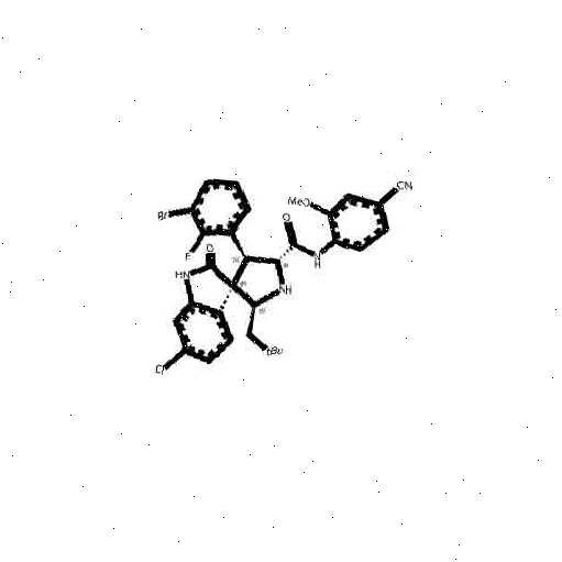 COc1cc(C#N)ccc1NC(=O)[C@@H]1N[C@@H](CC(C)(C)C)[C@@]2(C(=O)Nc3cc(Cl)ccc32)[C@H]1c1cccc(Br)c1F